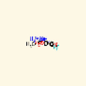 CCOC(=O)/C(NN)=C(/N)OC1CCC(c2ccc(OC(F)(F)F)cc2)CC1